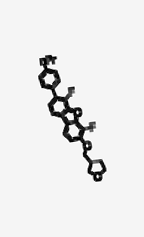 CCCc1ccc(-c2ccc3c(oc4c(F)c(OCC5CCOC5)ccc43)c2F)cc1